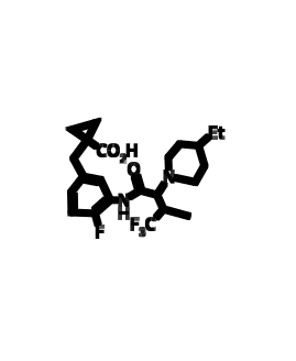 CCC1CCN(C(C(=O)Nc2cc(CC3(C(=O)O)CC3)ccc2F)C(C)C(F)(F)F)CC1